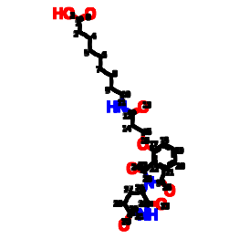 O=C(O)CCCCCCCCNC(=O)CCOc1cccc2c1C(=O)N(C1CCC(=O)NC1=O)C2=O